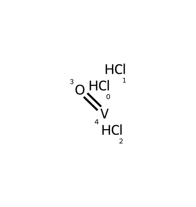 Cl.Cl.Cl.[O]=[V]